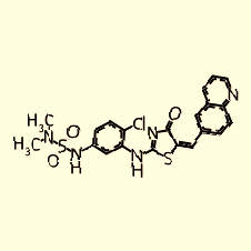 CN(C)S(=O)(=O)Nc1ccc(Cl)c(NC2=NC(=O)C(=Cc3ccc4ncccc4c3)S2)c1